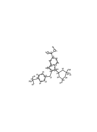 COC(=O)c1ccc2c(c1)nc(Cc1ccc(C(C)(C)C)cc1)n2C1CC(C)CC(C)(C)C1